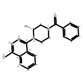 C[C@@H]1CN(C(=O)c2ccccc2)CCN1c1nnc(Cl)c2ncccc12